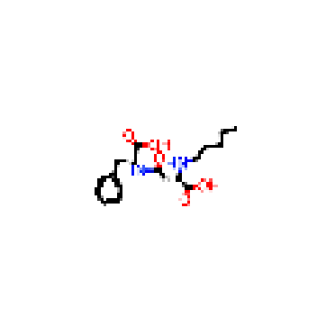 CCCCCN[C@@H](CC(=O)N[C@@H](Cc1ccccc1)C(=O)O)C(=O)O